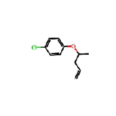 [CH]=CCC(C)Oc1ccc(Cl)cc1